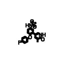 Cc1cc(-c2cc(NS(C)(=O)=O)ccc2Oc2ccc(F)cc2)c[nH]c1=O